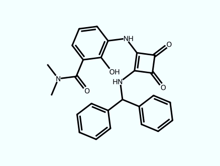 CN(C)C(=O)c1cccc(Nc2c(NC(c3ccccc3)c3ccccc3)c(=O)c2=O)c1O